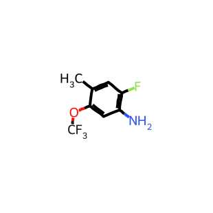 Cc1cc(F)c(N)cc1OC(F)(F)F